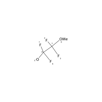 COC(F)(F)C([O])(F)F